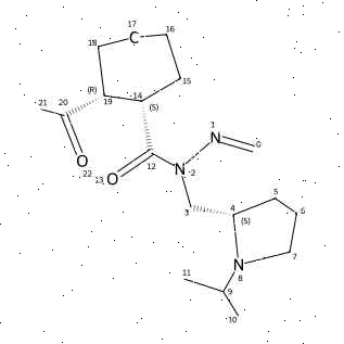 C=NN(C[C@@H]1CCCN1C(C)C)C(=O)[C@H]1CCCC[C@H]1C(C)=O